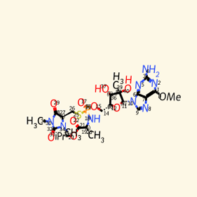 COc1nc(N)nc2c1ncn2[C@@H]1O[C@H](CO[P@](=O)(N[C@@H](C)C(=O)OC(C)C)SC[C@@H]2C(=O)N(C)C(=O)N2C)[C@@H](O)[C@@]1(C)O